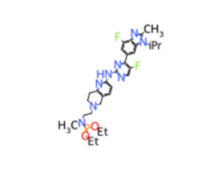 CCOP(OCC)N(C)CCN1CCc2nc(Nc3ncc(F)c(-c4cc(F)c5nc(C)n(C(C)C)c5c4)n3)ccc2C1